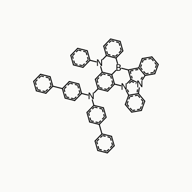 c1ccc(-c2ccc(N(c3ccc(-c4ccccc4)cc3)c3cc4c5c(c3)-n3c6ccccc6n6c7ccccc7c(c36)B5c3ccccc3N4c3ccccc3)cc2)cc1